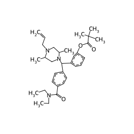 C=CCN1CC(C)N(C(c2ccc(C(=O)N(CC)CC)cc2)c2cccc(OC(=O)C(C)(C)C)c2)CC1C